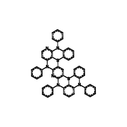 c1ccc(N2c3ccccc3B3c4cc5c(nc4N(c4ccccc4)c4cccc2c43)N(c2ccccc2)c2ccnc3c2B5c2ccccc2N3c2ccccc2)cc1